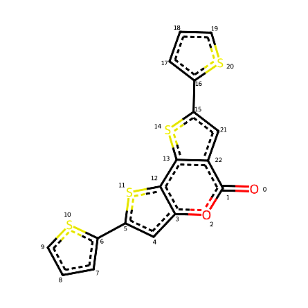 O=c1oc2cc(-c3cccs3)sc2c2sc(-c3cccs3)cc12